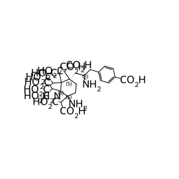 N[C@H](Cc1ccc(C(=O)O)cc1)C[C@]1(C(C(=O)O)C(=O)O)CC[C@](N)(C(C(=O)O)C(=O)O)[C@](N)(C(C(=O)O)C(=O)O)C1(C(C(=O)O)C(=O)O)C(C(=O)O)C(=O)O